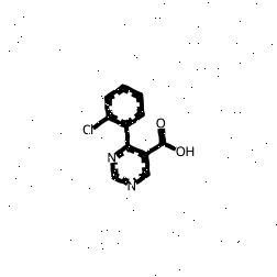 O=C(O)c1cncnc1-c1ccccc1Cl